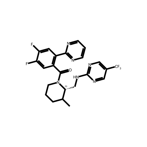 CC1CCCN(C(=O)c2cc(F)c(F)cc2-c2ncccn2)[C@@H]1CNc1ncc(C(F)(F)F)cn1